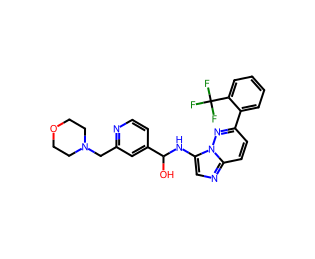 OC(Nc1cnc2ccc(-c3ccccc3C(F)(F)F)nn12)c1ccnc(CN2CCOCC2)c1